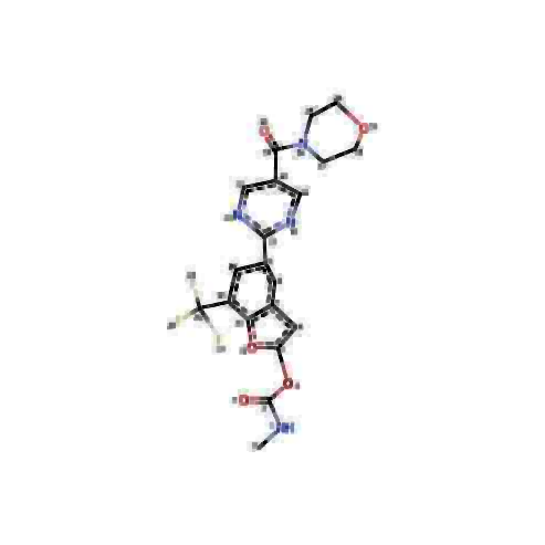 CNC(=O)Oc1cc2cc(-c3ncc(C(=O)N4CCOCC4)cn3)cc(C(F)(F)F)c2o1